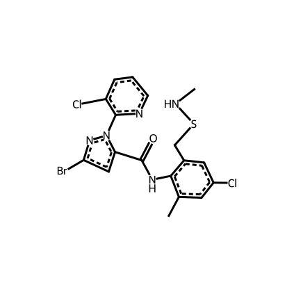 CNSCc1cc(Cl)cc(C)c1NC(=O)c1cc(Br)nn1-c1ncccc1Cl